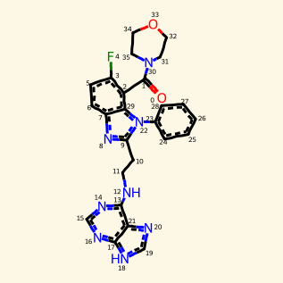 O=C(c1c(F)ccc2nc(CCNc3ncnc4[nH]cnc34)n(-c3ccccc3)c12)N1CCOCC1